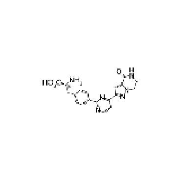 N[C@@H](Cc1ccc(-c2nccc(-c3cc4n(n3)CCNC4=O)n2)cc1)C(=O)O